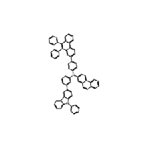 c1ccc(-c2c(-c3ccccc3)c3cc(-c4ccc(N(c5cccc(-c6ccc7c(c6)c6ccccc6n7-c6ccccc6)c5)c5ccc6c(ccc7ccccc76)c5)cc4)ccc3c3ccccc23)cc1